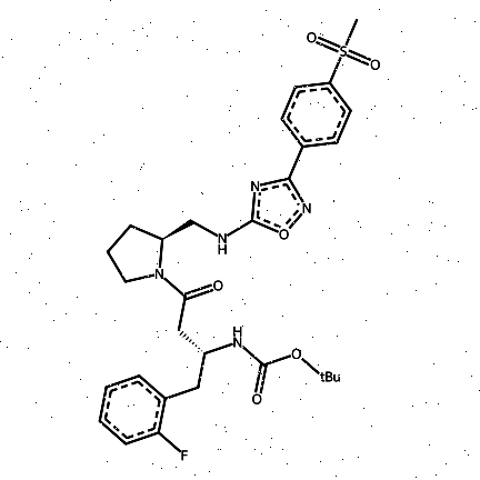 CC(C)(C)OC(=O)N[C@@H](CC(=O)N1CCC[C@H]1CNc1nc(-c2ccc(S(C)(=O)=O)cc2)no1)Cc1ccccc1F